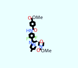 COC(=O)c1ccc(C(=O)Nc2cc(F)c(-c3nc4cc(C)ccn4c3C[C@H]3CN(C(=O)OC)CCO3)c(F)c2)cc1